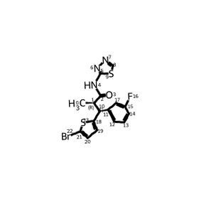 C[C@@H](C(=O)Nc1nncs1)[C@@H](c1cccc(F)c1)c1ccc(Br)s1